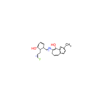 Cc1ccc2c(c1)C(O)=C(/N=C/C1C=CC=C(O)C1C/C=C\F)CC=C2